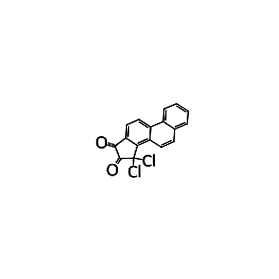 O=C1C(=O)C(Cl)(Cl)c2c1ccc1c2ccc2ccccc21